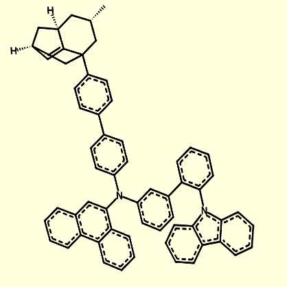 C[C@H]1C[C@@H]2C[C@@H]3C=C2C(c2ccc(-c4ccc(N(c5cccc(-c6ccccc6-n6c7ccccc7c7ccccc76)c5)c5cc6ccccc6c6ccccc56)cc4)cc2)(C1)C3